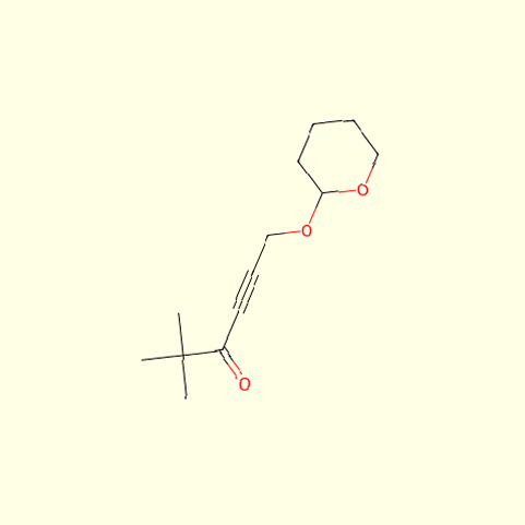 CC(C)(C)C(=O)C#CCOC1CCCCO1